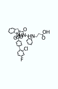 O=C(O)CCNc1ccccc1CNC(=O)[C@@H]1Cc2ccccc2N1S(=O)(=O)c1ccc(-c2ccc(F)cc2Cl)cc1